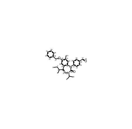 CCC(C)C1=NN(C(C)C)C(=O)N(c2ccc(C=O)cc2)c2cc(C)c(OCc3ccccc3)cc21